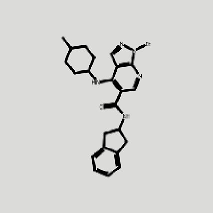 CCn1ncc2c(NC3CCC(C)CC3)c(C(=O)NC3Cc4ccccc4C3)cnc21